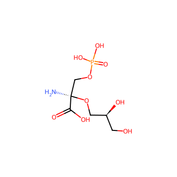 N[C@](COP(=O)(O)O)(OC[C@@H](O)CO)C(=O)O